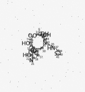 CC[C@H]1OC(=O)[C@H](C)[C@@H](O)[C@H](C)[C@@H](O[C@@H]2O[C@H](C)C[C@H](N(C)C)[C@H]2O)C(C)(O)C[C@@H](C)CN(CCCNCc2cccs2)[C@H](C)[C@@H](O)[C@]1(C)O